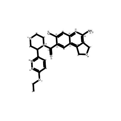 CCOc1ccc(C2COCCN2C(=O)c2cc3c4c(c(N)nc3cc2Cl)COC4)nn1